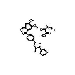 COc1cc2cnnc(N3CCC(CCN(C)C(=O)c4cccnc4)CC3)c2cc1OC.O.O=C(O)C(=O)O